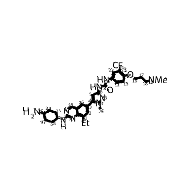 CCc1cc(-c2cc(NC(=O)Nc3ccc(OCCCNC)c(C(F)(F)F)c3)nn2C)cc2cnc(N[C@H]3CC[C@H](N)CC3)nc12